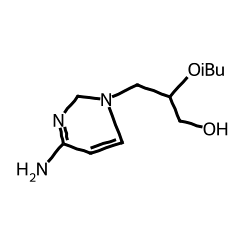 CC(C)COC(CO)CN1C=CC(N)=NC1